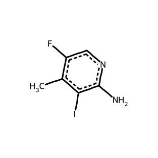 Cc1c(F)cnc(N)c1I